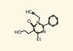 C#CCn1c(-c2ccccc2)nc(CC)c(CCO)c1=O